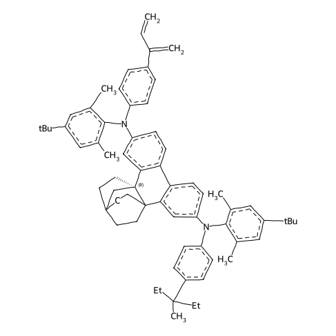 C=CC(=C)c1ccc(N(c2ccc3c(c2)[C@@]24CCC5(CCC2(CC5)c2cc(N(c5ccc(C(C)(CC)CC)cc5)c5c(C)cc(C(C)(C)C)cc5C)ccc2-3)C4)c2c(C)cc(C(C)(C)C)cc2C)cc1